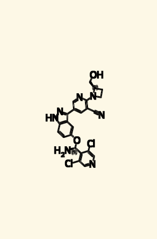 N#Cc1cc(-c2n[nH]c3ccc(O[C@H](N)c4c(Cl)cncc4Cl)cc23)cnc1N1CC[C@@H]1CO